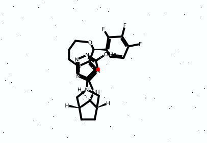 COc1cc(N2C[C@H]3CC[C@@H](C2)[C@@H]3Nc2nc3n(n2)CCCO[C@H]3c2ccc(F)c(F)c2F)cnn1